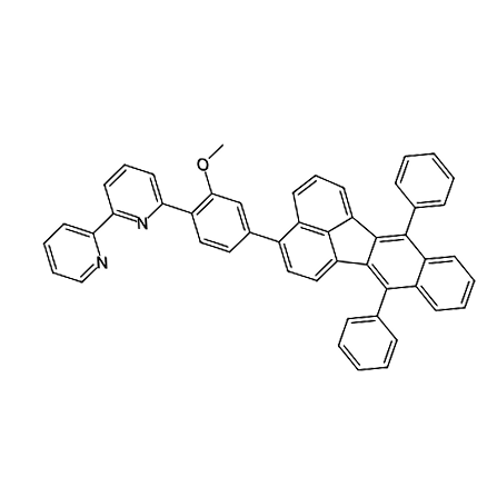 COc1cc(-c2ccc3c4c(cccc24)-c2c-3c(-c3ccccc3)c3ccccc3c2-c2ccccc2)ccc1-c1cccc(-c2ccccn2)n1